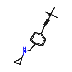 C[Si](C)(C)C#Cc1ccc(CNC2CC2)cc1